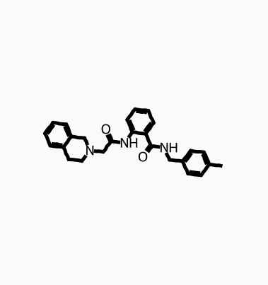 Cc1ccc(CNC(=O)c2ccccc2NC(=O)CN2CCc3ccccc3C2)cc1